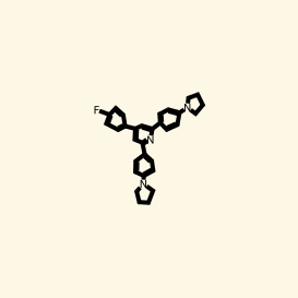 Fc1ccc(-c2cc(-c3ccc(N4CCCC4)cc3)nc(-c3ccc(N4CCCC4)cc3)c2)cc1